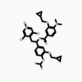 CN(C)c1ccc(C(=O)OC(Cc2c(Cl)c[n+]([O-])cc2Cl)c2ccc(OC(F)F)c(OCC3CC3)c2)cc1OCC1CC1